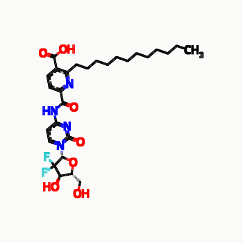 CCCCCCCCCCCCc1nc(C(=O)Nc2ccn([C@@H]3O[C@H](CO)[C@@H](O)C3(F)F)c(=O)n2)ccc1C(=O)O